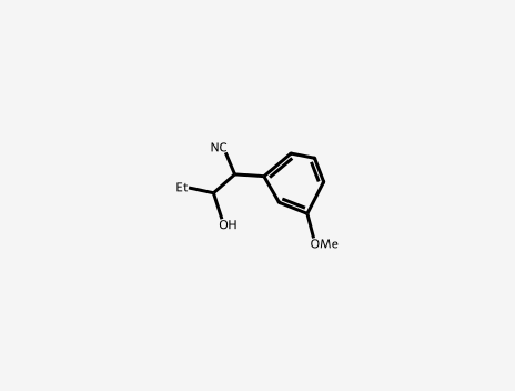 CCC(O)C(C#N)c1cccc(OC)c1